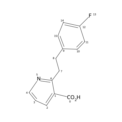 O=C(O)c1cccnc1CCc1ccc(F)cc1